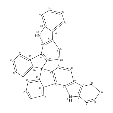 C1=Cc2[nH]c3c4c(ccc3c2CC1)C1(c2ccccc2-4)c2ccccc2-c2c1ccc1c2[nH]c2ccccc21